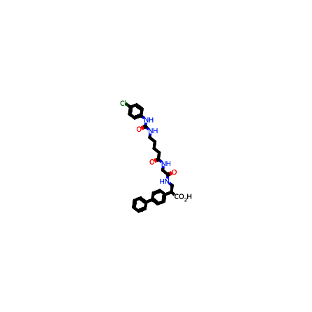 O=C(CCCCNC(=O)Nc1ccc(Cl)cc1)NCC(=O)NCC(C(=O)O)c1ccc(-c2ccccc2)cc1